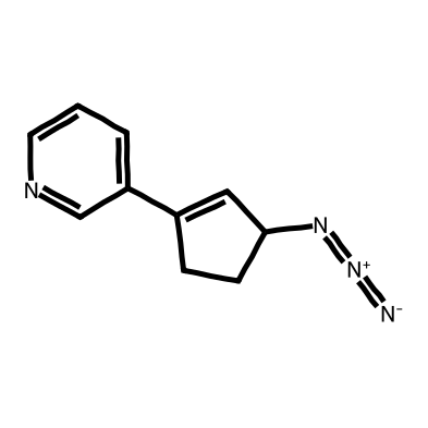 [N-]=[N+]=NC1C=C(c2cccnc2)CC1